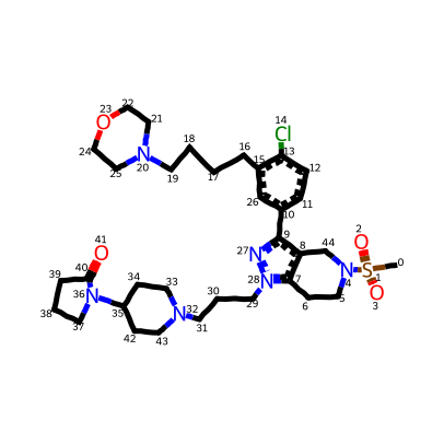 CS(=O)(=O)N1CCc2c(c(-c3ccc(Cl)c(CCCCN4CCOCC4)c3)nn2CCCN2CCC(N3CCCC3=O)CC2)C1